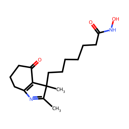 CC1=NC2=C(C(=O)CCC2)C1(C)CCCCCCC(=O)NO